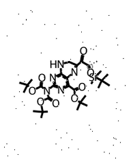 C[C@H](O[Si](C)(C)C(C)(C)C)C(=O)C1=Nc2c(nc(N(C(=O)OC(C)(C)C)C(=O)OC(C)(C)C)nc2C(=O)OC(C)(C)C)NC1